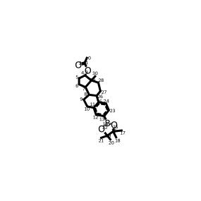 CC(=O)OC1CCC2C3CCc4cc(B5OC(C)(C)C(C)(C)O5)ccc4C3CCC12C